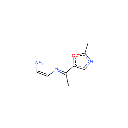 C/C(=N\C=C/N)c1cnc(C)o1